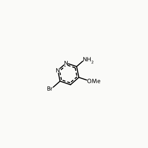 COc1cc(Br)nnc1N